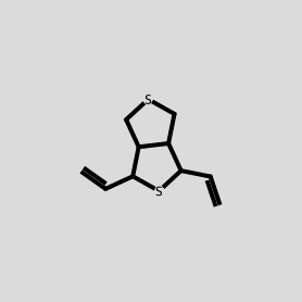 C=CC1SC(C=C)C2CSCC12